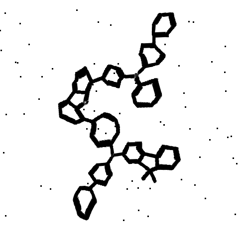 CC1(C)c2ccccc2-c2ccc(N(C3=CC=C(c4cccc5c4oc4c(-c6ccc(N(c7ccccc7)c7ccc(-c8ccccc8)cc7)cc6)cccc45)C=CC3)c3ccc(-c4ccccc4)cc3)cc21